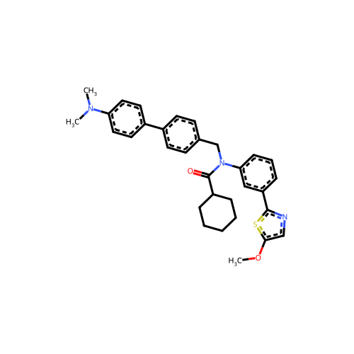 COc1cnc(-c2cccc(N(Cc3ccc(-c4ccc(N(C)C)cc4)cc3)C(=O)C3CCCCC3)c2)s1